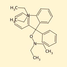 CCN(CC)OC(c1ccccc1)(c1ccccc1)c1ccccc1N(CC)CC